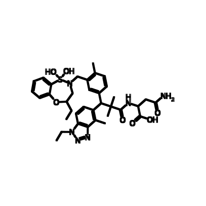 CCC1CN(Cc2cc(C(c3ccc4c(nnn4CC)c3C)C(C)(C)C(=O)NC(CC(N)=O)C(=O)O)ccc2C)S(O)(O)c2ccccc2O1